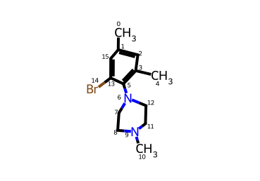 Cc1cc(C)c(N2CCN(C)CC2)c(Br)c1